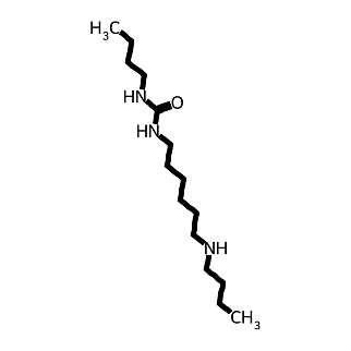 CCCCNCCCCCCNC(=O)NCCCC